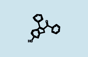 O=C(C1=C(c2ccccc2)c2ccc(O)cc2C1)c1ccccc1